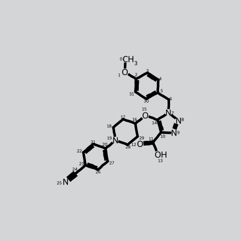 COc1ccc(Cn2nnc(C(=O)O)c2OC2CCN(c3ccc(C#N)cc3)CC2)cc1